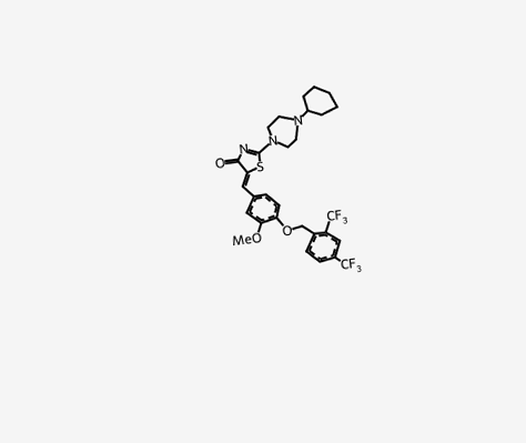 COc1cc(/C=C2\SC(N3CCN(C4CCCCC4)CC3)=NC2=O)ccc1OCc1ccc(C(F)(F)F)cc1C(F)(F)F